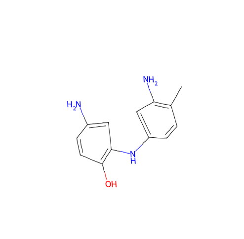 Cc1ccc(Nc2cc(N)ccc2O)cc1N